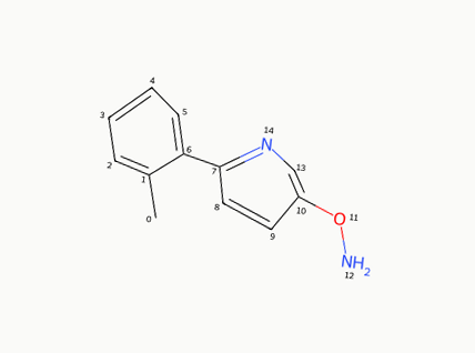 Cc1ccccc1-c1ccc(ON)cn1